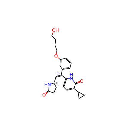 O=C1CC[C@H](/C=C(/c2cccc(OCCCCO)c2)c2ccc(C3CC3)c(=O)[nH]2)N1